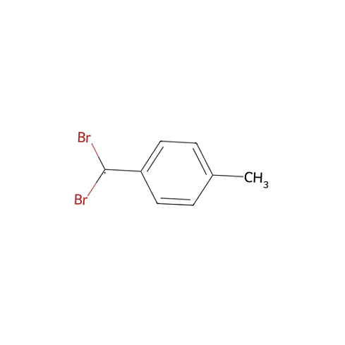 Cc1ccc([C](Br)Br)cc1